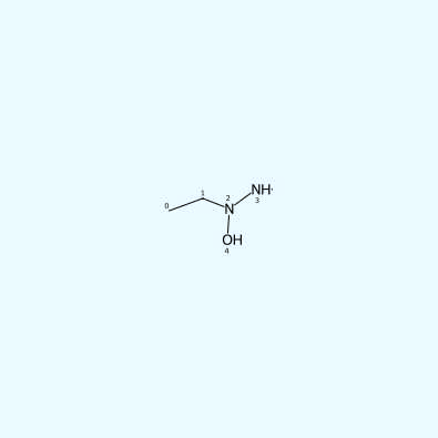 CCN([NH])O